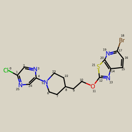 Clc1cnc(N2CCC(CCOc3nc4ccc(Br)nc4s3)CC2)cn1